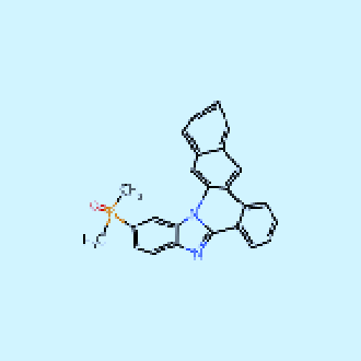 CP(C)(=O)c1ccc2nc3c4ccccc4c4cc5ccccc5cc4n3c2c1